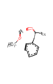 CCC(=O)c1ccccc1.CCC(C)OC(=O)O